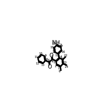 Cc1cc(C(=O)C(=O)c2ccccc2)c(-c2ccccc2)c(C)c1C.N